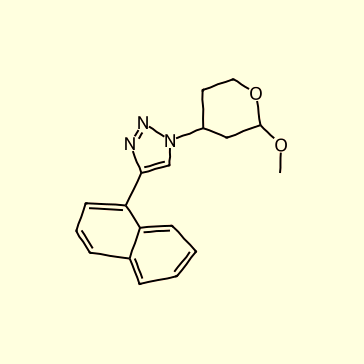 COC1CC(n2cc(-c3cccc4ccccc34)nn2)CCO1